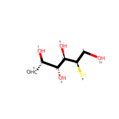 O=C[C@H](O)[C@@H](O)[C@@H](O)[C@H](S)CO